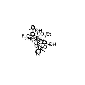 CCOC(=O)C[C@H]([SiH2]NC(=O)C(c1cc(CO)ccc1F)n1c(=O)c2ccncc2n(C)c1=O)c1cc(-c2c(C)cccc2O)cc(C(F)(F)F)c1F